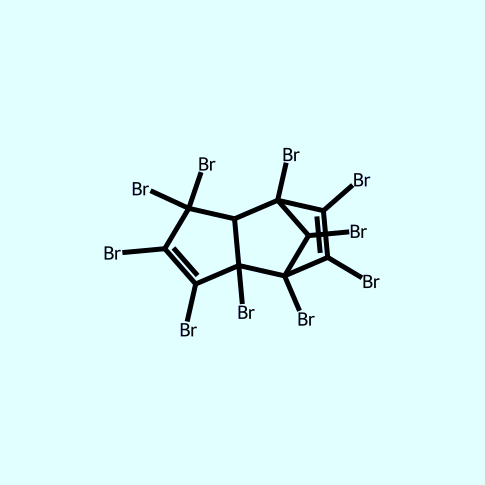 BrC1=C(Br)C2(Br)C(C1(Br)Br)C1(Br)C(Br)=C(Br)C2(Br)C1Br